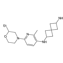 CCC1CN(c2ccc(NC3CC4(CC(N)C4)C3)c(C)n2)CCO1